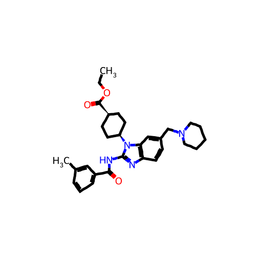 CCOC(=O)[C@H]1CC[C@@H](n2c(NC(=O)c3cccc(C)c3)nc3ccc(CN4CCCCC4)cc32)CC1